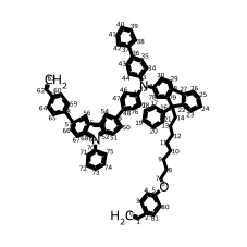 C=Cc1ccc(OCCCCCCCCC2(c3ccccc3)c3ccccc3-c3ccc(N(c4ccc(-c5ccccc5)cc4)c4ccc(-c5ccc6c(c5)c5cc(-c7ccc(C=C)cc7)ccc5n6-c5ccccc5)cc4)cc32)cc1